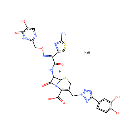 Nc1nc(C(=NOCc2ncc(O)c(=O)[nH]2)C(=O)N[C@@H]2C(=O)N3C(C(=O)O)=C(Cn4nnc(-c5ccc(O)c(O)c5)n4)CS[C@H]23)cs1.[NaH]